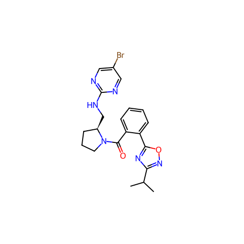 CC(C)c1noc(-c2ccccc2C(=O)N2CCC[C@H]2CNc2ncc(Br)cn2)n1